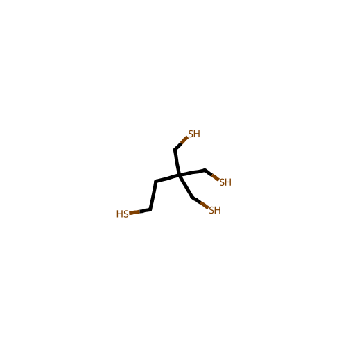 SCCC(CS)(CS)CS